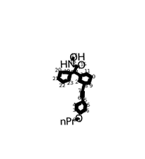 CCCOc1ccc(C#Cc2cccc(C(C(=O)NO)c3ccccc3)c2)cc1